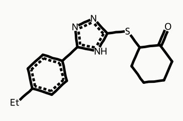 CCc1ccc(-c2nnc(SC3CCCCC3=O)[nH]2)cc1